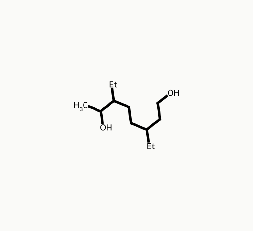 CCC(CCO)CCC(CC)C(C)O